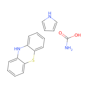 NC(=O)O.c1cc[nH]c1.c1ccc2c(c1)Nc1ccccc1S2